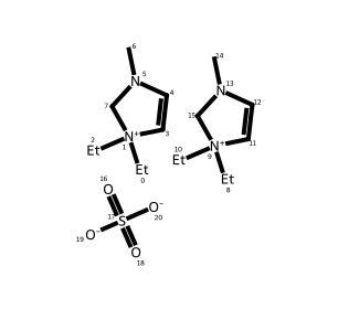 CC[N+]1(CC)C=CN(C)C1.CC[N+]1(CC)C=CN(C)C1.O=S(=O)([O-])[O-]